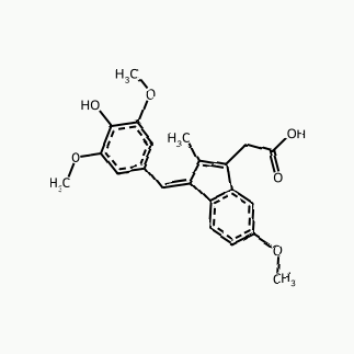 COc1ccc2c(c1)C(CC(=O)O)=C(C)C2=Cc1cc(OC)c(O)c(OC)c1